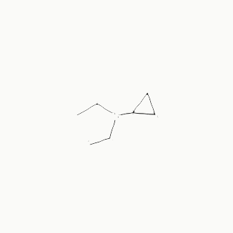 CCN(CC)[C]1CC1